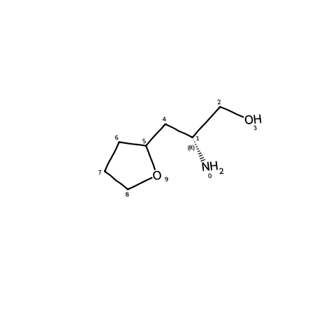 N[C@@H](CO)CC1CCCO1